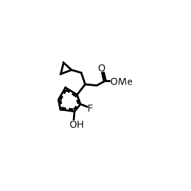 COC(=O)CC(CC1CC1)c1cccc(O)c1F